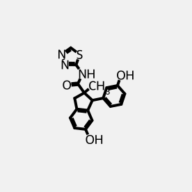 CC1(C(=O)Nc2nncs2)Cc2ccc(O)cc2C1c1cccc(O)c1